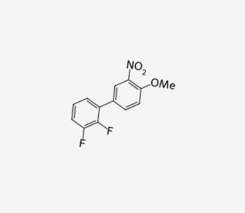 COc1ccc(-c2cccc(F)c2F)cc1[N+](=O)[O-]